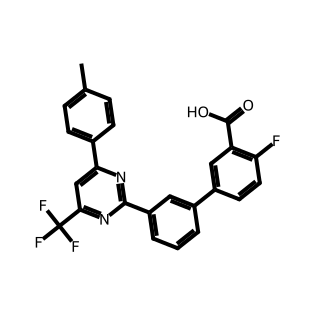 Cc1ccc(-c2cc(C(F)(F)F)nc(-c3cccc(-c4ccc(F)c(C(=O)O)c4)c3)n2)cc1